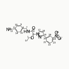 CCOC(C(=O)NCc1ccc(C#N)cc1)n1ccc(-c2cccc([N+](=O)[O-])c2)n1